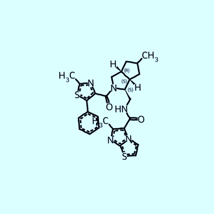 Cc1nc(C(=O)N2C[C@@H]3CC(C)C[C@@H]3[C@H]2CNC(=O)c2c(C)nc3sccn23)c(-c2ccccc2)s1